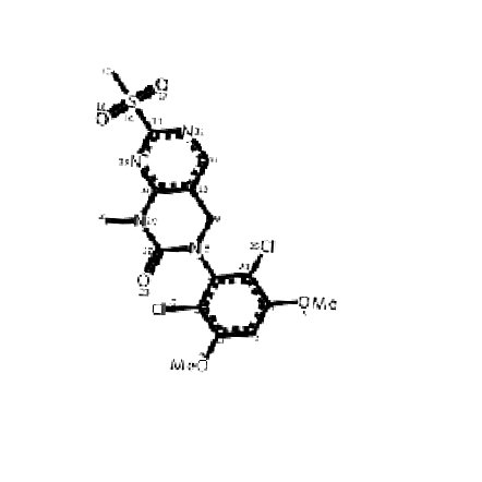 COc1cc(OC)c(Cl)c(N2Cc3cnc(S(C)(=O)=O)nc3N(C)C2=O)c1Cl